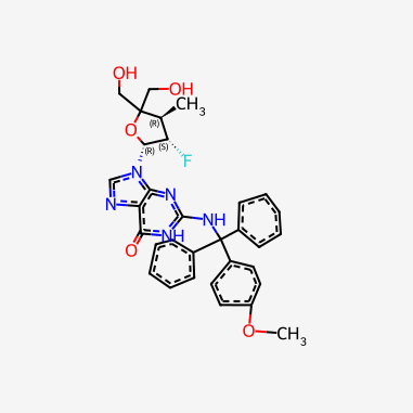 COc1ccc(C(Nc2nc3c(ncn3[C@@H]3OC(CO)(CO)[C@@H](C)[C@@H]3F)c(=O)[nH]2)(c2ccccc2)c2ccccc2)cc1